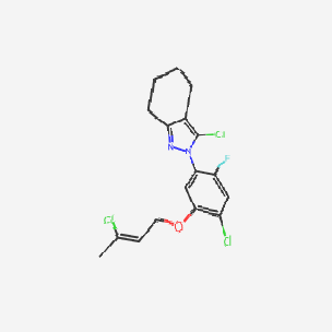 C/C(Cl)=C/COc1cc(-n2nc3c(c2Cl)CCCC3)c(F)cc1Cl